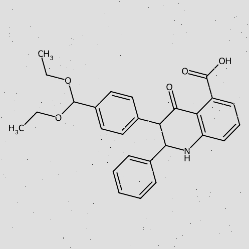 CCOC(OCC)c1ccc(C2C(=O)c3c(cccc3C(=O)O)NC2c2ccccc2)cc1